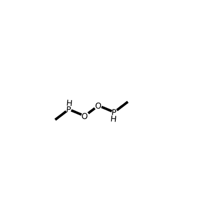 CPOOPC